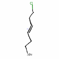 CCCCCC/C=C/CCCl